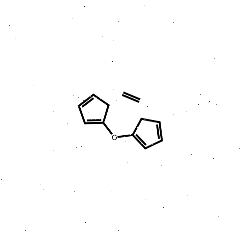 C1=CCC(OC2=CC=CC2)=C1.C=C